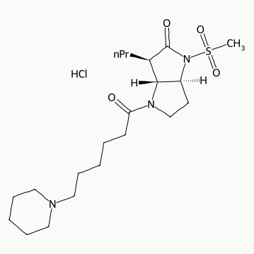 CCC[C@H]1C(=O)N(S(C)(=O)=O)[C@H]2CCN(C(=O)CCCCCN3CCCCC3)[C@H]12.Cl